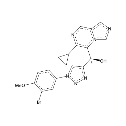 COc1ccc(-n2cc([C@H](O)c3c(C4CC4)ncc4cncn34)nn2)cc1Br